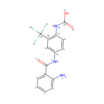 Nc1ccccc1C(=O)Nc1ccc(NC(=O)O)c(C(F)(F)F)c1